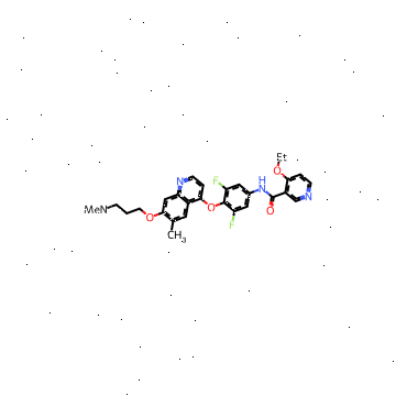 CCOc1ccncc1C(=O)Nc1cc(F)c(Oc2ccnc3cc(OCCCNC)c(C)cc23)c(F)c1